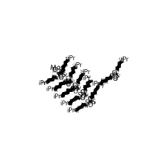 CC(C)CCCCCOP([O-])(=S)SCCCCCC(C)C.CC(C)CCCCCOP([O-])(=S)SCCCCCC(C)C.CC(C)CCCCCOP([O-])(=S)SCCCCCC(C)C.CC(C)CCCCCOP([O-])(=S)SCCCCCC(C)C.CC(C)CCCCCOP([O-])(=S)SCCCCCC(C)C.CC(C)CCCCCOP([O-])(=S)SCCCCCC(C)C.[Mo+4].[O+2]